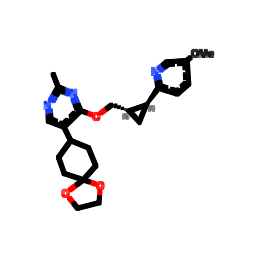 COc1ccc([C@H]2C[C@@H]2COc2nc(C)ncc2C2CCC3(CC2)OCCO3)nc1